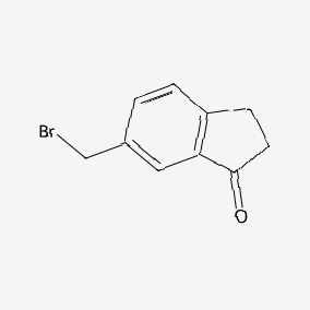 O=C1CCc2ccc(CBr)cc21